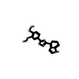 CCCOc1ccc(-c2nc(-c3cccc4[nH]ccc34)no2)cc1OCCC